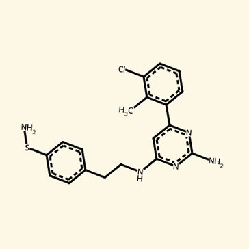 Cc1c(Cl)cccc1-c1cc(NCCc2ccc(SN)cc2)nc(N)n1